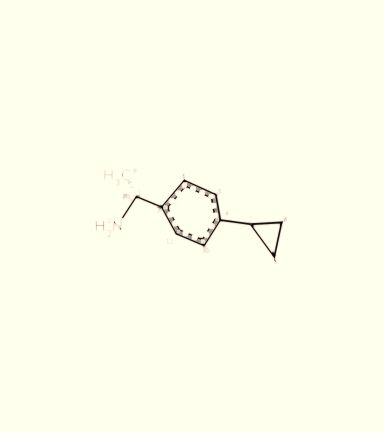 C[C@@H](N)c1ccc(C2CC2)cc1